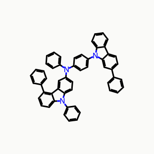 c1ccc(-c2ccc3c4ccccc4n(-c4ccc(N(c5ccccc5)c5ccc6c(c5)c5c(-c7ccccc7)cccc5n6-c5ccccc5)cc4)c3c2)cc1